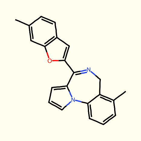 Cc1ccc2cc(C3=NCc4c(C)cccc4-n4cccc43)oc2c1